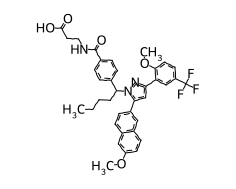 CCCCC(c1ccc(C(=O)NCCC(=O)O)cc1)n1nc(-c2cc(C(F)(F)F)ccc2OC)cc1-c1ccc2cc(OC)ccc2c1